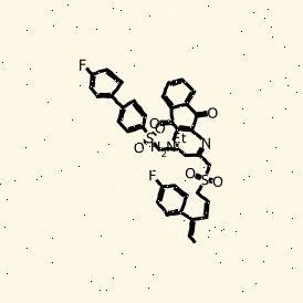 C/C=C(\C=C/CS(=O)(=O)C/C(C[C@H](CC)CS(=O)(=O)c1ccc(-c2ccc(F)cc2)cc1)=N/C1=C(N)C(=O)c2ccccc2C1=O)c1ccc(F)cc1